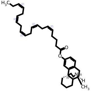 CC/C=C\C/C=C\C/C=C\C/C=C\C/C=C\CCCC(=O)Oc1ccc2c(c1)[C@]13CCCCC1[C@H](C2)N(C)CC3